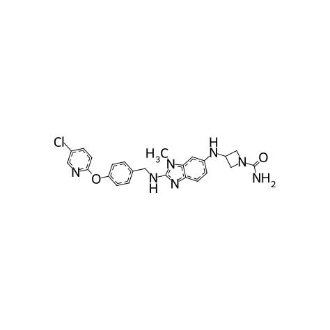 Cn1c(NCc2ccc(Oc3ccc(Cl)cn3)cc2)nc2ccc(NC3CN(C(N)=O)C3)cc21